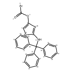 CC(=O)C(=O)Oc1c[se]c(NC(c2ccccc2)(c2ccccc2)c2ccccc2)n1